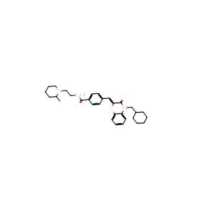 CC1CCCCN1CCNC(=O)c1ccc(/C=C2\Oc3ccccc3N(CC3CCCCC3)C2=O)cc1